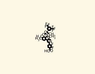 COc1cnc(-c2ccc(C(=O)O)c(F)c2F)cc1C1=C(CN2C(=O)O[C@H](c3cc(C(F)(F)F)cc(C(F)(F)F)c3)[C@@H]2C)CC(C)(C)CC1